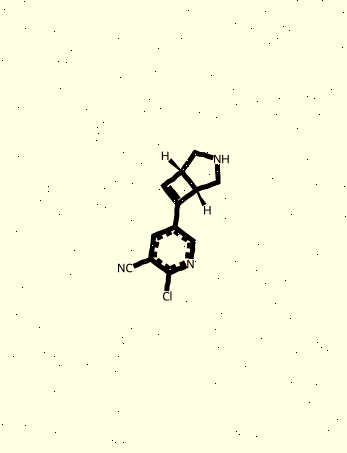 N#Cc1cc(C2=C[C@@H]3CNC[C@H]23)cnc1Cl